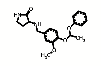 COc1cc(CNC2CCNC2=O)ccc1OC(C)Oc1ccccc1